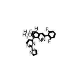 CC1(C)[C@H]2CC[C@@]1(c1ccnc(-n3cccn3)n1)c1nnc(-c3c(F)cccc3F)cc12